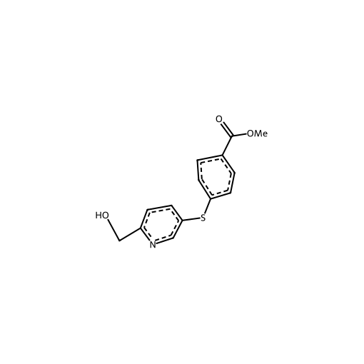 COC(=O)c1ccc(Sc2ccc(CO)nc2)cc1